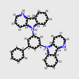 c1ccc(-c2cc(-n3c4ccccc4c4ncccc43)cc(-n3c4ccccc4c4ncccc43)c2)cc1